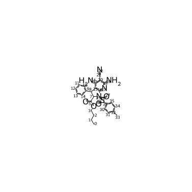 CCCCOC(=O)C1C(c2ccccc2)c2c(nc(N)c(C#N)c2N)N1S(=O)(=O)c1ccc(C)cc1